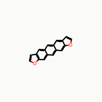 c1cc2cc3cc4cc5ccoc5cc4cc3cc2o1